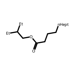 CCCCCCCCCCC(=O)OCC(CC)CC